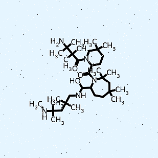 CNC(C)(C)CC(C)(C)CNC(O)C1CCC(C)(C)CC(C)(C)N1C(=O)C1CCC(C)(C)CN1C(=O)C(C)(C)C(C)(C)N